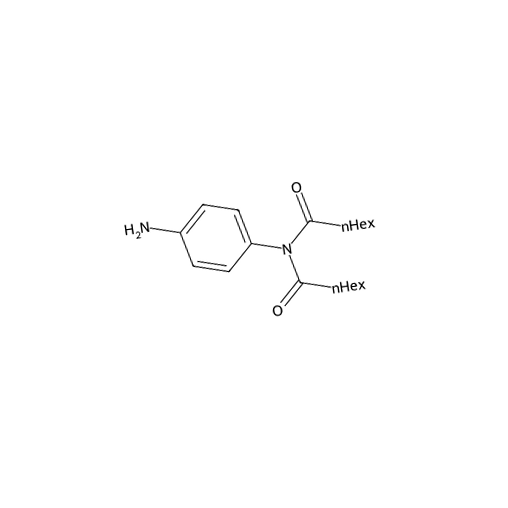 CCCCCCC(=O)N(C(=O)CCCCCC)c1ccc(N)cc1